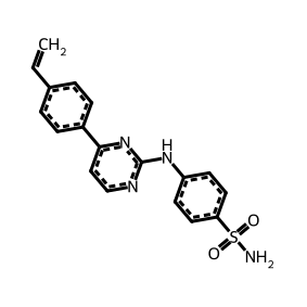 C=Cc1ccc(-c2ccnc(Nc3ccc(S(N)(=O)=O)cc3)n2)cc1